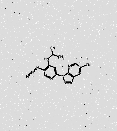 CC(C#N)Nc1cc(-n2ncc3cc(C#N)cnc32)ncc1N=[N+]=[N-]